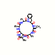 C/C=C1\NC(=O)C(Cc2ccccc2)NC(=O)C(C(C)C)NC(=O)C(C(C)CC)NC(=O)C(NC(=O)C(N)C(C)CC)C(C)OC(=O)C(C(C)C)NC1=O